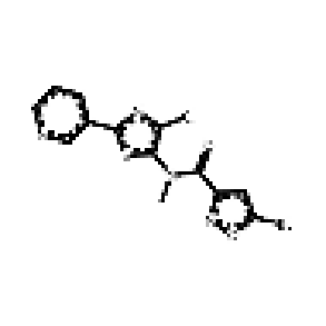 CCc1cc(C(=O)N(C)c2sc(-c3cccnc3)nc2Cl)no1